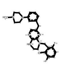 CN1CCN(c2cccc(Cc3cnc4c(n3)N(Cc3c(F)ccc(F)c3Cl)CCN4)c2)CC1